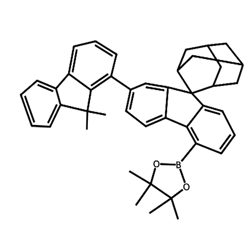 CC1(C)c2ccccc2-c2cccc(-c3ccc4c(c3)C3(c5cccc(B6OC(C)(C)C(C)(C)O6)c5-4)C4CC5CC(C4)CC3C5)c21